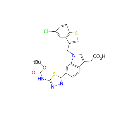 CC(C)(C)OC(=O)Nc1nnc(-c2ccc3c(CC(=O)O)cn(Cc4csc5ccc(Cl)cc45)c3c2)s1